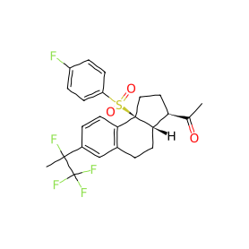 CC(=O)[C@@H]1CC[C@@]2(S(=O)(=O)c3ccc(F)cc3)c3ccc(C(C)(F)C(F)(F)F)cc3CC[C@@H]12